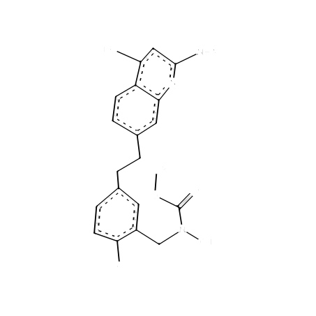 CC(=O)Nc1cc(C)c2ccc(CCc3ccc(Cl)c(CN(C)C(=O)OC(C)(C)C)c3)cc2n1